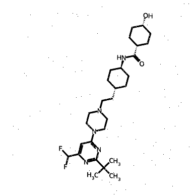 CC(C)(C)c1nc(C(F)F)cc(N2CCN(CC[C@H]3CC[C@H](NC(=O)[C@H]4CC[C@@H](O)CC4)CC3)CC2)n1